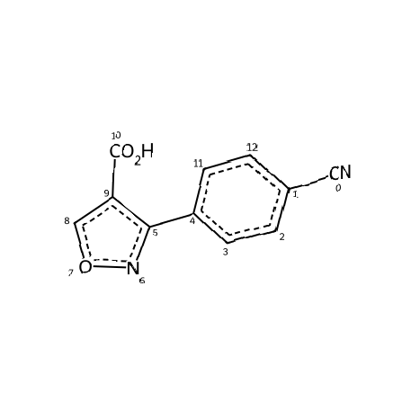 N#Cc1ccc(-c2nocc2C(=O)O)cc1